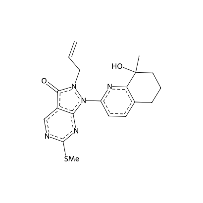 C=CCn1c(=O)c2cnc(SC)nc2n1-c1ccc2c(n1)C(C)(O)CCC2